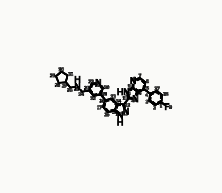 Fc1ccc(-c2ccnc3[nH]c(-c4n[nH]c5ccc(-c6cncc(CNCC7CCCC7)c6)cc45)nc23)cc1